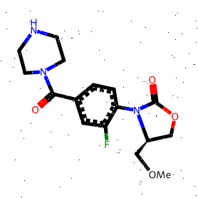 COC[C@@H]1COC(=O)N1c1ccc(C(=O)N2CCNCC2)cc1F